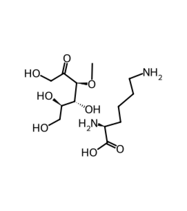 CO[C@H](C(=O)CO)[C@H](O)[C@H](O)CO.NCCCC[C@H](N)C(=O)O